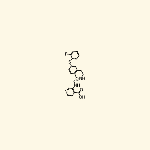 O=C(O)c1ccncc1NC[C@H]1NCCc2cc(Sc3ccccc3F)ccc21